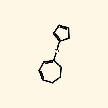 C1=CCCC[C]([Ru][C]2=CC=CC2)=C1